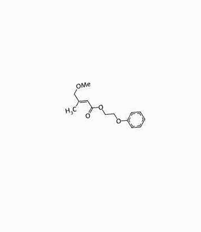 COC/C(C)=C/C(=O)OCCOc1ccccc1